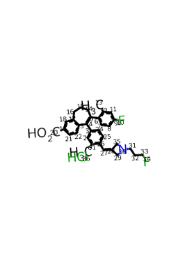 Cc1cc(C2=C(c3ccc(F)cc3C)CCCc3cc(C(=O)O)ccc32)ccc1C=C1CN(CCCF)C1.Cl